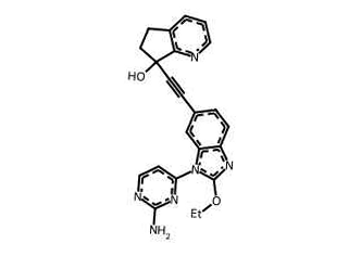 CCOc1nc2ccc(C#CC3(O)CCc4cccnc43)cc2n1-c1ccnc(N)n1